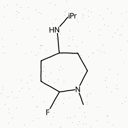 CC(C)NC1CCC(F)N(C)CC1